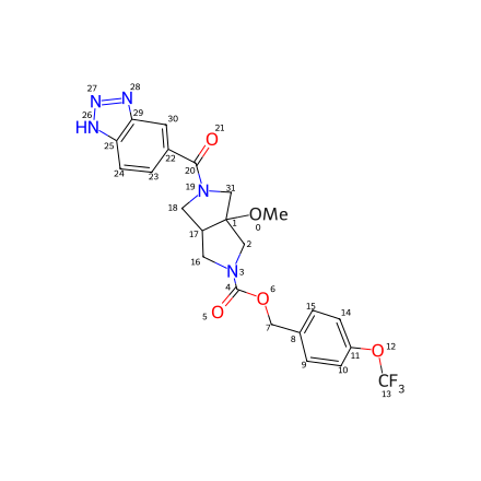 COC12CN(C(=O)OCc3ccc(OC(F)(F)F)cc3)CC1CN(C(=O)c1ccc3[nH]nnc3c1)C2